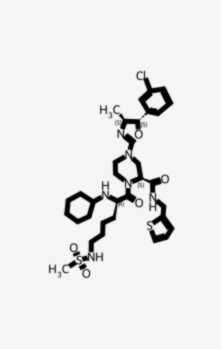 C[C@@H]1N=C(N2CCN(C(=O)[C@@H](CCCCNS(C)(=O)=O)NC3CCCCC3)[C@H](C(=O)NCc3cccs3)C2)O[C@H]1c1cccc(Cl)c1